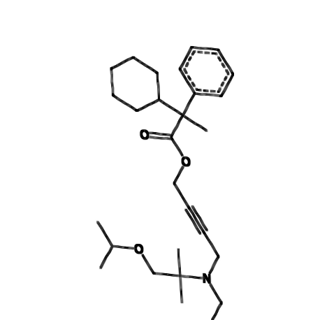 CCN(CC#CCOC(=O)C(C)(c1ccccc1)C1CCCCC1)C(C)(C)COC(C)C